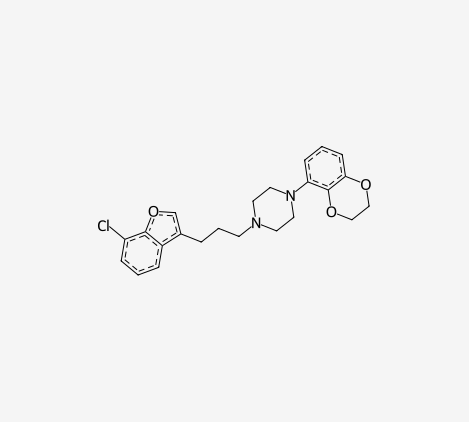 Clc1cccc2c(CCCN3CCN(c4cccc5c4OCCO5)CC3)coc12